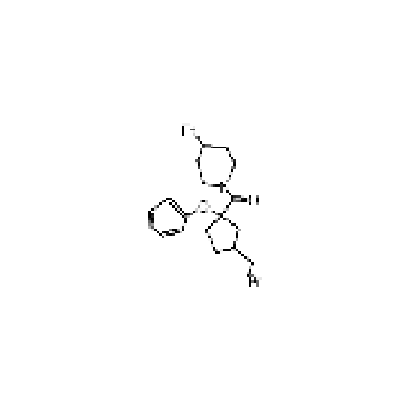 CCC1CCN(C(=O)C2(Oc3ccccc3)CCC(CC(C)C)C2)CC1